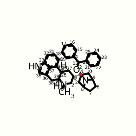 CN1C[C@@H](CN2C3CCC2CC(OC(c2ccccc2)c2ccccc2)C3)C[C@@H]2c3cccc4[nH]cc(c34)C[C@H]21